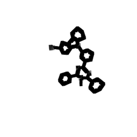 CN1C(c2ccccc2)=NC(c2cccc(-n3c4ccccc4c4cc(Br)ccc43)c2)=NC1c1ccccc1